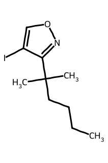 CCCCC(C)(C)c1nocc1I